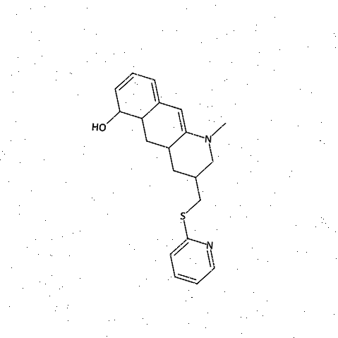 CN1CC(CSc2ccccn2)CC2CC3C(=CC=CC3O)C=C21